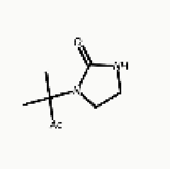 CC(=O)C(C)(C)N1CCNC1=O